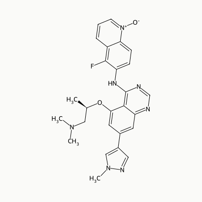 C[C@H](CN(C)C)Oc1cc(-c2cnn(C)c2)cc2ncnc(Nc3ccc4c(ccc[n+]4[O-])c3F)c12